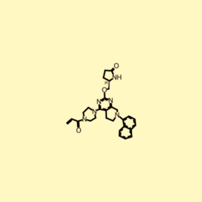 C=CC(=O)N1CCN(c2nc(OC[C@H]3CCC(=O)N3)nc3c2CCN(c2cccc4ccccc24)C3)CC1